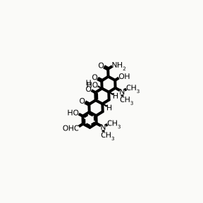 CN(C)c1cc(C=O)c(O)c2c1C[C@H]1C[C@H]3C(N(C)C)C(O)C(C(N)=O)C(=O)[C@@]3(O)C(O)=C1C2=O